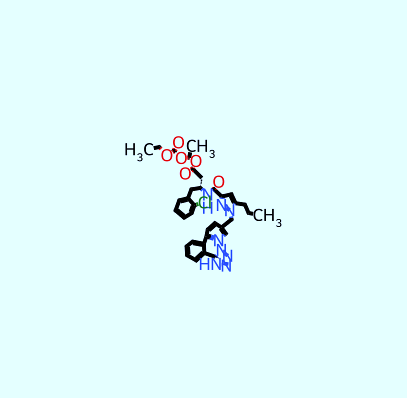 CCCc1cc(C(=O)N[C@@H](CC(=O)OC(C)OC(=O)OCC)Cc2ccccc2Cl)nn1Cc1ccc(-c2ccccc2-c2nnn[nH]2)nc1